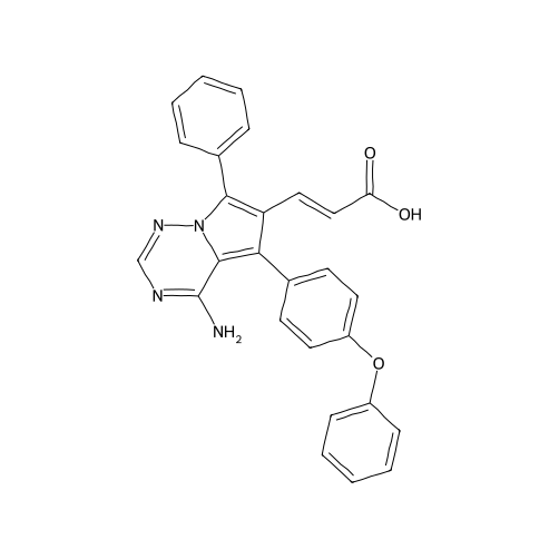 Nc1ncnn2c(-c3ccccc3)c(C=CC(=O)O)c(-c3ccc(Oc4ccccc4)cc3)c12